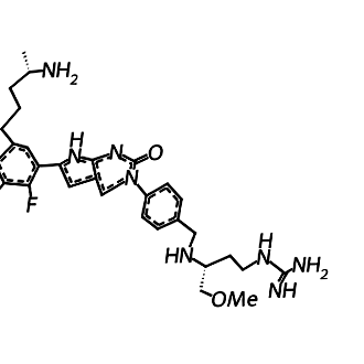 COC[C@@H](CCNC(=N)N)NCc1ccc(-n2cc3cc(-c4cc(CCC[C@H](C)N)cc(Cl)c4F)[nH]c3nc2=O)cc1